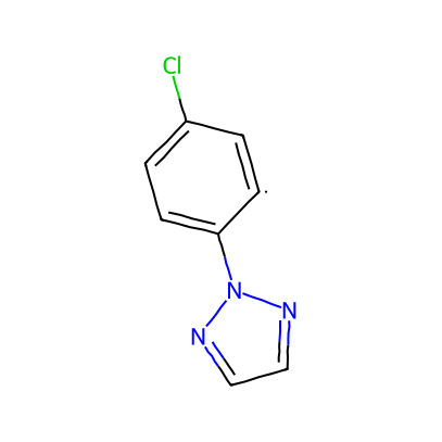 Clc1c[c]c(-n2nccn2)cc1